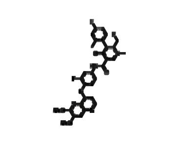 COc1cc2nccc(Oc3ccc(NC(=O)c4cn(C)c(CF)c(-c5ccc(F)cc5C)c4=O)cc3F)c2nc1OC